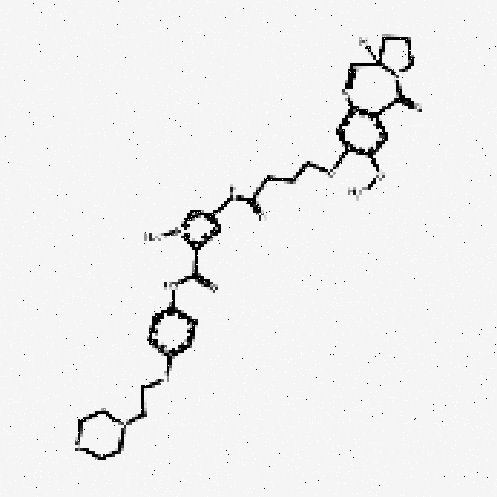 COc1cc2c(cc1OCCCC(=O)Nc1cc(C(=O)Nc3ccc(OCCN4CCOCC4)cc3)n(C)c1)N=C[C@@H]1CCCN1C2=O